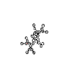 COCCOCC(COCCOC)OCC(COC(COCCOC)COCCOC)Oc1ccc2nc3ccc(OC(COC(COCCOC)COCCOC)COC(COCCOC)COCCOC)cc3c(C(=O)Oc3c(C)cc(C(=O)OC)cc3C)c2c1